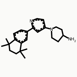 CC1(C)CCC(C)(C)c2cc(-c3cc(N4CCC(N)CC4)ccn3)ccc21